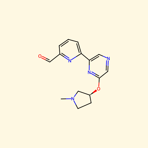 CN1CC[C@H](Oc2cncc(-c3cccc(C=O)n3)n2)C1